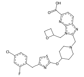 O=C(O)c1ccc2nc(CN3CCC(Oc4nc(Cc5ccc(Cl)cc5F)cs4)CC3)n(CC3CCO3)c2n1